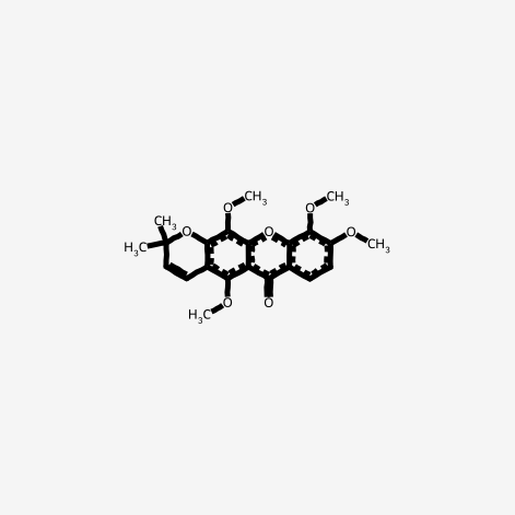 COc1ccc2c(=O)c3c(OC)c4c(c(OC)c3oc2c1OC)OC(C)(C)C=C4